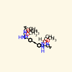 CC1(CN(Cc2nc(-c3ccc(C#Cc4ccc5[nH]c([C@@H]6CC7(CC7)CN6C(=O)OC(C)(C)C)nc5c4)cc3)c[nH]2)C(=O)OC(C)(C)C)CC1